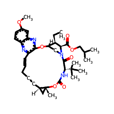 CC[C@@H]1[C@@H]2CN(C(=O)[C@H](C(C)(C)C)NC(=O)O[C@]3(C)C[C@H]3CCC/C=C/c3nc4ccc(OC)cc4nc3O2)[C@@H]1C(=O)OCC(C)C